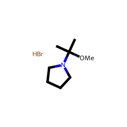 Br.COC(C)(C)N1CCCC1